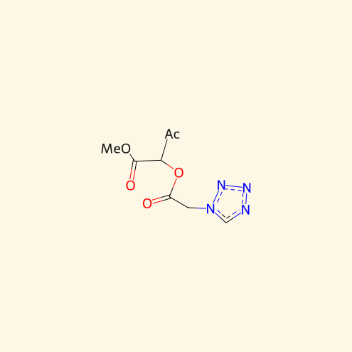 COC(=O)C(OC(=O)Cn1cnnn1)C(C)=O